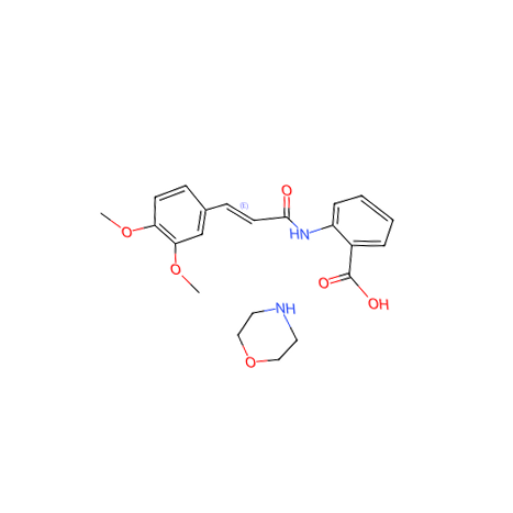 C1COCCN1.COc1ccc(/C=C/C(=O)Nc2ccccc2C(=O)O)cc1OC